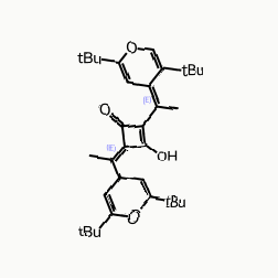 C/C(C1=C(O)/C(=C(/C)C2C=C(C(C)(C)C)OC(C(C)(C)C)=C2)C1=O)=C1/C=C(C(C)(C)C)OC=C1C(C)(C)C